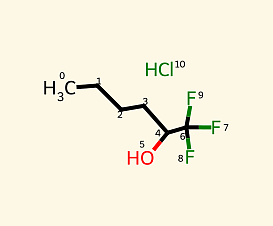 CCCCC(O)C(F)(F)F.Cl